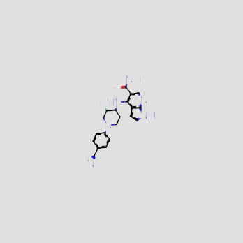 N#Cc1ccc(N2CCC(Nc3c(C(N)=O)cnc4[nH]ccc34)C(F)C2)cc1